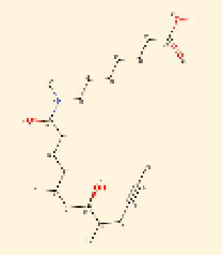 CC#CCC(C)[C@H](O)CC(C)CCCC(=O)N(C)CCCCCCC(=O)OC